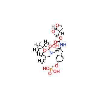 CC(C)CN(C[C@@H](O)[C@H](Cc1ccc(OCP(=O)(O)O)cc1)NC(=O)O[C@H]1CO[C@H]2OCC[C@H]21)C(=O)OC(C)(C)C